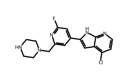 Fc1cc(-c2cc3c(Cl)ccnc3[nH]2)cc(CN2CCNCC2)n1